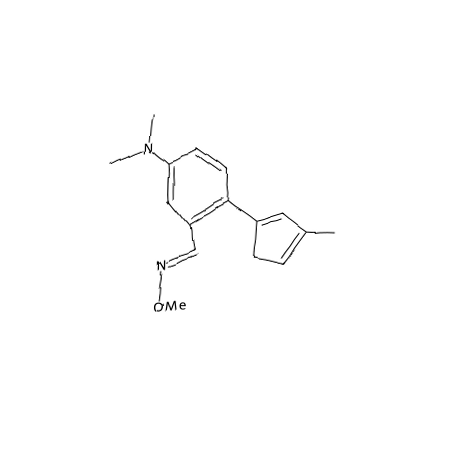 CON=Cc1cc(N(C)C)ccc1C1=CC(C)=CC1